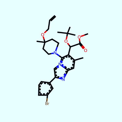 C=CCOC1(C)CCN(c2c(C(OC(C)(C)C)C(=O)OC)c(C)cc3nc(-c4cccc(Br)c4)cn23)CC1